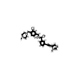 CN1CCN(Cc2ccc(CNC(=O)c3cccc(C#Cc4cncn4C)c3)cc2Cl)CC1